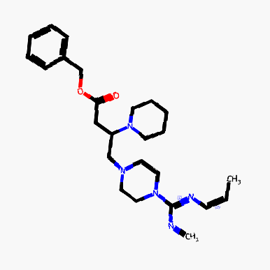 C=N/C(=N\C=C/C)N1CCN(CC(CC(=O)OCc2ccccc2)N2CCCCC2)CC1